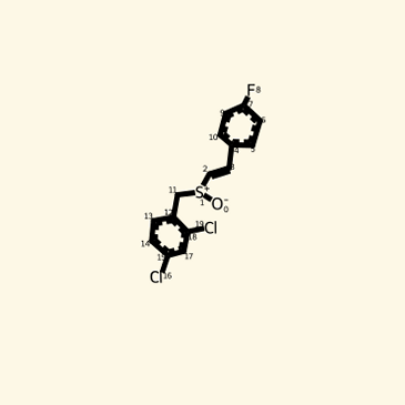 [O-][S+](C=Cc1ccc(F)cc1)Cc1ccc(Cl)cc1Cl